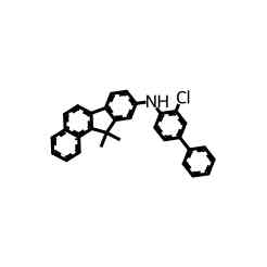 CC1(C)c2cc(Nc3ccc(-c4ccccc4)cc3Cl)ccc2-c2ccc3ccccc3c21